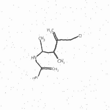 C=C(CCC)NC(C)C(C)C(=C)CCl